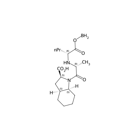 BOC(=O)[C@@H](CCC)N[C@H](C)C(=O)N1[C@H](C(=O)O)C[C@@H]2CCCC[C@@H]21